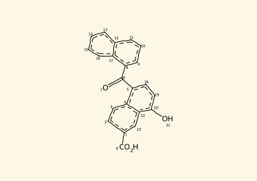 O=C(O)c1ccc2c(C(=O)c3cccc4ccccc34)ccc(O)c2c1